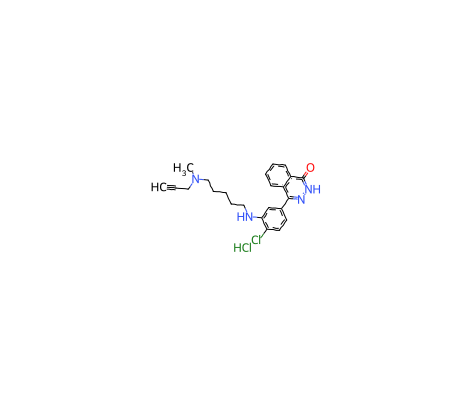 C#CCN(C)CCCCCNc1cc(-c2n[nH]c(=O)c3ccccc23)ccc1Cl.Cl